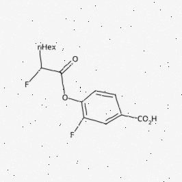 CCCCCCC(F)C(=O)Oc1ccc(C(=O)O)cc1F